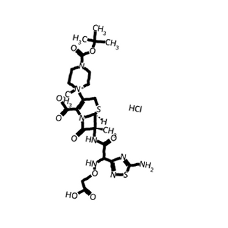 CC(C)(C)OC(=O)N1CC[N+](C)(C2=C(C(=O)[O-])N3C(=O)[C@@](C)(NC(=O)C(NOCC(=O)O)c4nsc(N)n4)[C@@H]3SC2)CC1.Cl